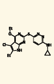 CCOc1nc(Sc2ccc(NC3CC3)nn2)nc2[nH]c(CC)c(Cl)c12